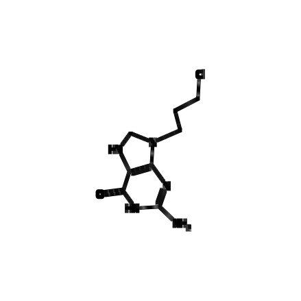 Nc1nc2c(c(=O)[nH]1)NCN2CCCCl